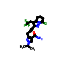 CC(C)n1cc(C(N)=O)c(CC#Cc2nn3c(Cl)cccc3c2CC(F)(F)F)n1